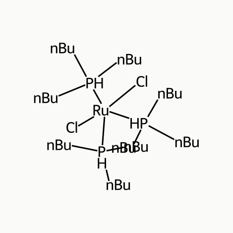 CCCC[PH](CCCC)(CCCC)[Ru]([Cl])([Cl])([PH](CCCC)(CCCC)CCCC)[PH](CCCC)(CCCC)CCCC